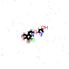 CN1C[C@H](O)C[C@H]1COc1ccc2c3c(c(Br)c(Cl)c2n1)COC3